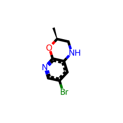 C[C@H]1CNc2cc(Br)cnc2O1